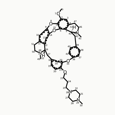 COc1cc2c3c4c1Oc1cc5c(cc1O4)[C@H](Cc1ccc(OCCCN4CCN(C)CC4)c(c1)Oc1ccc(cc1)C[C@@H]3N(C)CC2)N(C)CC5